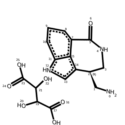 NC[C@@H]1CNC(=O)c2cccc3[nH]cc1c23.O=C(O)C(O)C(O)C(=O)O